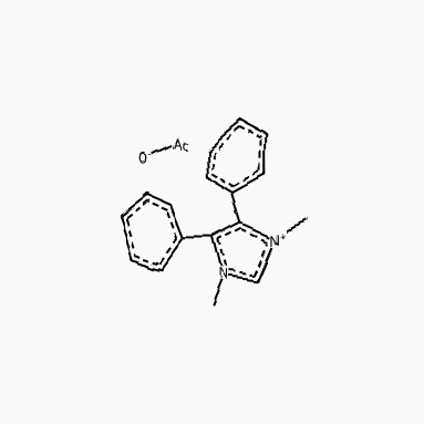 CC(=O)[O-].Cn1c[n+](C)c(-c2ccccc2)c1-c1ccccc1